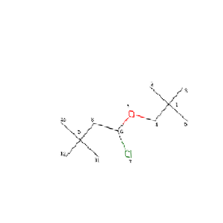 CC(C)(C)COC(Cl)CC(C)(C)C